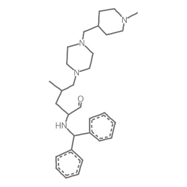 CC(CC(C=O)NC(c1ccccc1)c1ccccc1)CN1CCN(CC2CCN(C)CC2)CC1